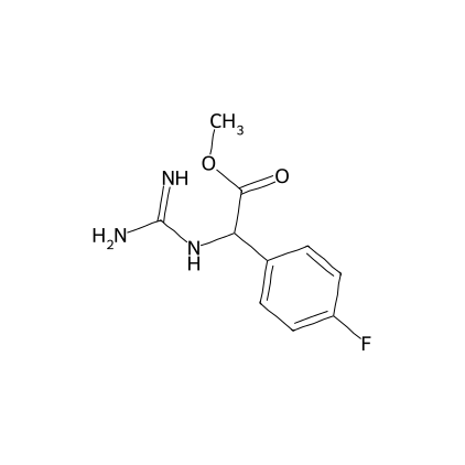 COC(=O)C(NC(=N)N)c1ccc(F)cc1